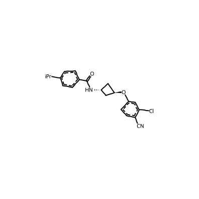 CC(C)c1ccc(C(=O)N[C@H]2C[C@H](Oc3ccc(C#N)c(Cl)c3)C2)cc1